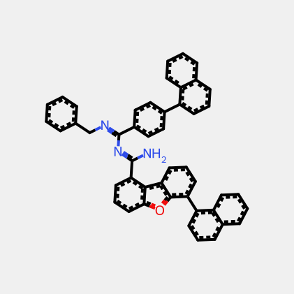 N/C(=N\C(=N/Cc1ccccc1)c1ccc(-c2cccc3ccccc23)cc1)c1cccc2oc3c(-c4cccc5ccccc45)cccc3c12